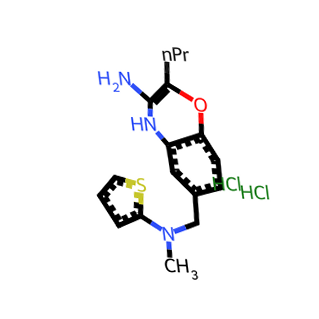 CCCC1=C(N)Nc2cc(CN(C)c3cccs3)ccc2O1.Cl.Cl